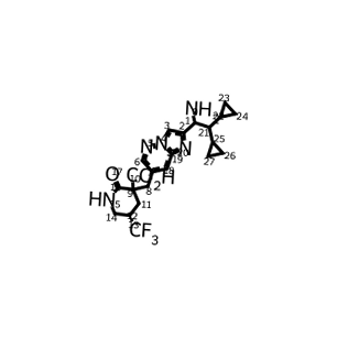 NC(c1cn2ncc(CC3(C(=O)O)C[C@@H](C(F)(F)F)CNC3=O)cc2n1)C(C1CC1)C1CC1